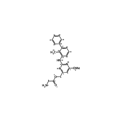 COc1cc(COC(=O)CN)nc(Nc2cccc(-c3ccccc3)c2C)n1